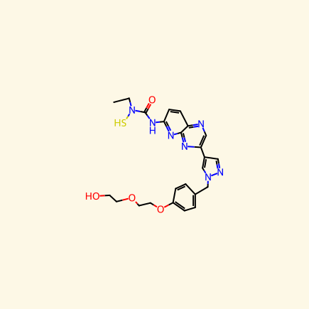 CCN(S)C(=O)Nc1ccc2ncc(-c3cnn(Cc4ccc(OCCOCCO)cc4)c3)nc2n1